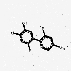 Oc1cc(-c2ncc(C(F)(F)F)cc2F)c(F)cc1Cl